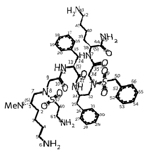 CN[C@@H](CCCCN)CN(CC(=O)N[C@@H](Cc1ccccc1)C(=O)NC(Cc1ccccc1)CN(CC(=O)N[C@@H](CCCCN)C(N)=O)S(=O)(=O)Cc1ccccc1)S(=O)(=O)CCN